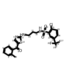 Cc1ccccc1C(=O)c1cnc(NCCCNS(=O)(=O)c2cc(C(F)(F)F)ccc2Cl)s1